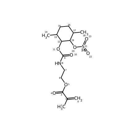 C=C(C)C(=O)OCCNC(=O)OC1C(C)CCC(C)C1O[SH](=O)=O